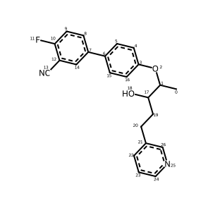 CC(Oc1ccc(-c2ccc(F)c(C#N)c2)cc1)C(O)CCc1cccnc1